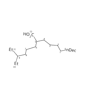 CCCCCCCCCCCCCCC(CCCC(CC)CC)C(=O)O